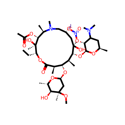 CC[C@H]1OC(=O)[C@H](C)[C@@H](O[C@H]2C[C@@](C)(OC)[C@@H](O)[C@H](C)O2)[C@H](C)[C@@H](O[C@@H]2O[C@H](C)CC(N(C)C)[C@H]2O[N+](=O)[O-])[C@](C)(O)C[C@@H](I)CN(C)[C@H](C)[C@@H](OC(C)=O)[C@]1(C)O